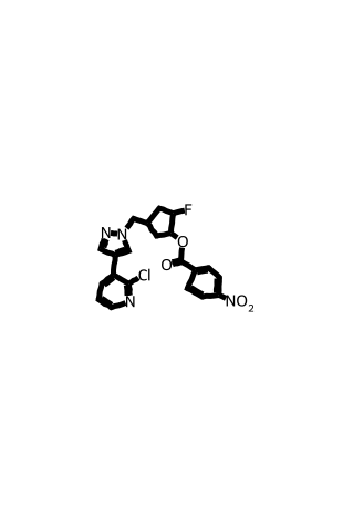 O=C(OC1CC(Cn2cc(-c3cccnc3Cl)cn2)CC1F)c1ccc([N+](=O)[O-])cc1